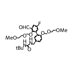 COCCOCOc1ccc(CNC(=O)NC(C)(C)C)cc1-c1cc(F)cc(C=O)c1OCOCCOC